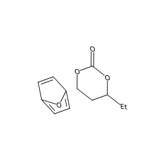 CCC1CCOC(=O)O1.c1cc2ccc1o2